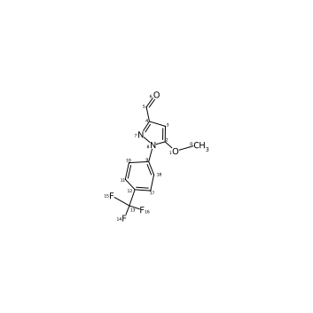 COc1cc(C=O)nn1-c1ccc(C(F)(F)F)cc1